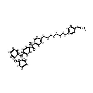 C=Cc1ccc(CCCCCCCCc2ccc(S(=O)(=O)c3ccc(N4c5ccccc5Oc5ccccc54)cc3)cc2)cc1